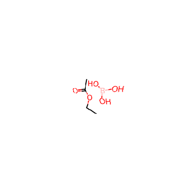 CCOC(C)=O.OB(O)O